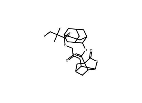 CCC(C)(C)C(=O)OCC(=O)OC1C2CC3C1OC(=O)C3(C(=O)OC1C3CC4CC(C3)CC1C4)C2